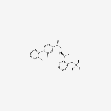 C=C(C/N=C(\C)c1ccccc1CC(F)(F)F)c1ccc(-c2ccccc2C)c(C)c1